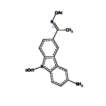 CCCCCCCCn1c2ccc(N)cc2c2cc(/C(C)=N/OC(C)=O)ccc21